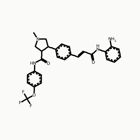 CN1CC(C(=O)Nc2ccc(OC(F)(F)F)cc2)C(c2ccc(/C=C/C(=O)Nc3ccccc3N)cc2)C1